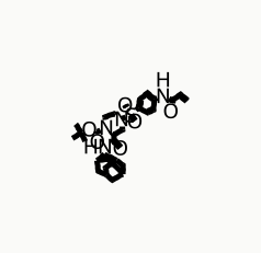 C=CC(=O)Nc1ccc(S(=O)(=O)N2CCN(C(=O)OC(C)(C)C)C(C(=O)NC3C4CC5CC(C4)CC3C5)C2)cc1